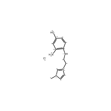 Cn1cc[n+](CCNc2ccc(O)cc2N)c1.[Cl-]